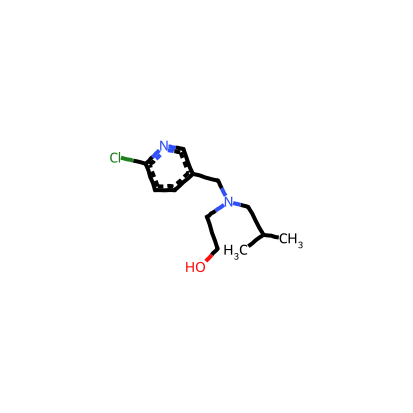 CC(C)CN(CCO)Cc1ccc(Cl)nc1